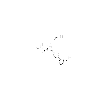 C[C@H](NC(=O)c1nc(OC[C@@H]2C[C@@H]2C#N)nc(N2CCC(c3ccc(N)c(C(N)=O)n3)CC2)n1)C(F)(F)F